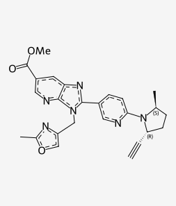 C#C[C@H]1CC[C@H](C)N1c1ccc(-c2nc3cc(C(=O)OC)cnc3n2Cc2coc(C)n2)cn1